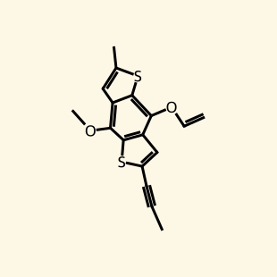 C=COc1c2cc(C#CC)sc2c(OC)c2cc(C)sc12